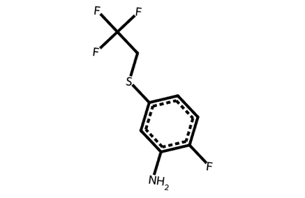 Nc1cc(SCC(F)(F)F)ccc1F